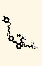 Cc1ccc(OCCCCOc2ccc(/C=C/c3cccc4c3c(CC(=O)O)cn4CCCC(=O)O)cc2)cc1C